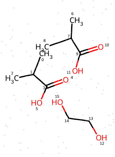 CC(C)C(=O)O.CC(C)C(=O)O.OCCO